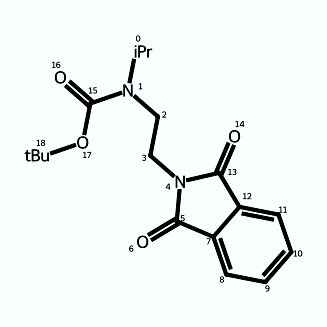 CC(C)N(CCN1C(=O)c2ccccc2C1=O)C(=O)OC(C)(C)C